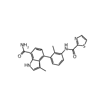 Cc1c(NC(=O)c2nccs2)cccc1-c1ccc(C(N)=O)c2[nH]cc(C)c12